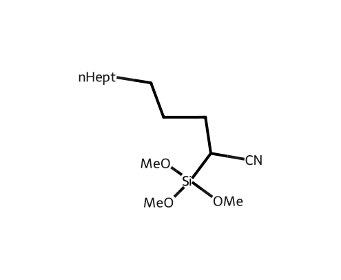 CCCCCCCCCCC(C#N)[Si](OC)(OC)OC